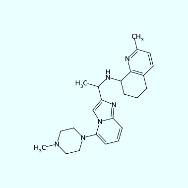 Cc1ccc2c(n1)C(NC(C)c1cn3c(N4CCN(C)CC4)cccc3n1)CCC2